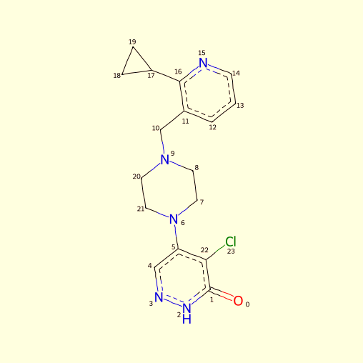 O=c1[nH]ncc(N2CCN(Cc3cccnc3C3CC3)CC2)c1Cl